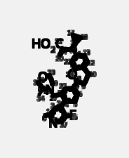 Cc1cc(-c2ccc(C3CCc4ccc([C@H](C5CC5)[C@H](C)C(=O)O)cc4O3)cc2CN2CCOC[C@@H]2C)c(F)cn1